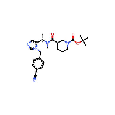 C[C@@H](c1cncn1Cc1ccc(C#N)cc1)N(C)C(=O)C1CCCN(C(=O)OC(C)(C)C)C1